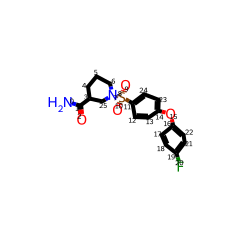 NC(=O)C1CCCN(S(=O)(=O)c2ccc(Oc3ccc(F)cc3)cc2)C1